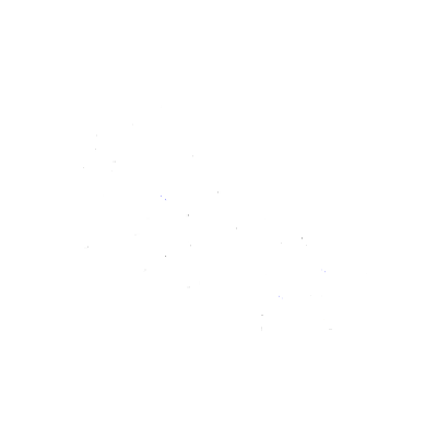 CN1C(=O)C(=Cc2cc3c(s2)N2c4ccccc4C(C)(C)c4cccc(c42)C3(C)C)C(=O)N(C)C1=S